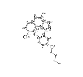 CCCCOc1ccc(F)c(-c2nnc3c(C)nc4ccc(Cl)cc4n23)c1